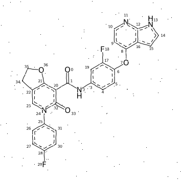 O=C(Nc1ccc(Oc2ccnc3[nH]ccc23)c(F)c1)c1c2c(cn(-c3ccc(F)cc3)c1=O)CCO2